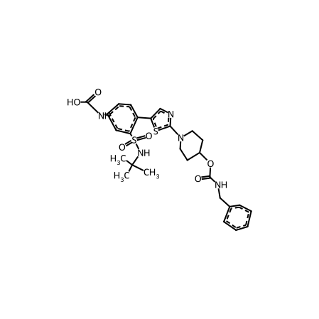 CC(C)(C)NS(=O)(=O)c1cc(NC(=O)O)ccc1-c1cnc(N2CCC(OC(=O)NCc3ccccc3)CC2)s1